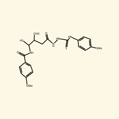 COc1ccc(C(=O)NC(S)C(C=O)CC(=O)NNC(=S)Nc2ccc(SC)cc2)cc1